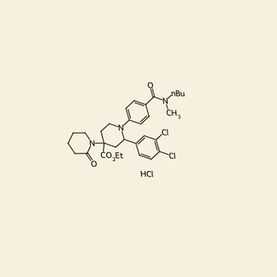 CCCCN(C)C(=O)c1ccc(N2CCC(C(=O)OCC)(N3CCCCC3=O)CC2c2ccc(Cl)c(Cl)c2)cc1.Cl